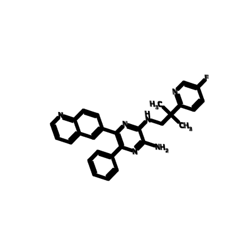 CC(C)(CNc1nc(-c2ccc3ncccc3c2)c(-c2ccccc2)nc1N)c1ccc(F)cn1